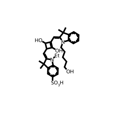 CCN1C(=CC2C(O)=C(C=C3N(CCCCCO)c4ccccc4C3(C)C)C2O)C(C)(C)c2cc(S(=O)(=O)O)ccc21